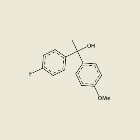 COc1ccc(C(C)(O)c2ccc(F)cc2)cc1